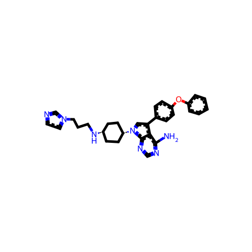 Nc1ncnc2c1c(-c1ccc(Oc3ccccc3)cc1)cn2[C@H]1CC[C@@H](NCCCn2ccnc2)CC1